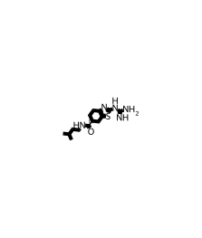 CC(C)CCNC(=O)[C@H]1CCc2nc(NC(=N)N)sc2C1